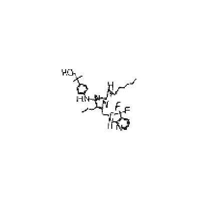 CCCCCCNc1nc(CCNc2ncccc2C(F)(F)F)c(CCC)c(Nc2ccc(C(C)(C)CO)cc2)n1